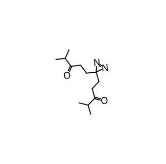 CC(C)C(=O)CCC1(CCC(=O)C(C)C)N=N1